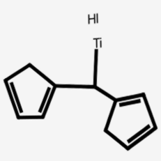 I.[Ti][CH](C1=CC=CC1)C1=CC=CC1